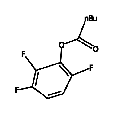 CCCCC(=O)Oc1c(F)ccc(F)c1F